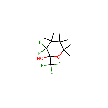 CC1(C)OC(O)(C(F)(F)F)C(F)(F)C(C)(C)C1(C)C